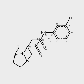 CC(C)(C)NC(=O)CN1C2CCC1CC(CC(=O)Nc1cccc(Cl)c1)C2